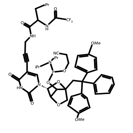 COc1ccc(C(CC23COC(C2OP(OCCC#N)N(C(C)C)C(C)C)[C@H](n2cc(C#CCNC(=O)C(CC(C)C)NC(=O)C(F)(F)F)c(=O)[nH]c2=O)O3)(c2ccccc2)c2ccc(OC)cc2)cc1